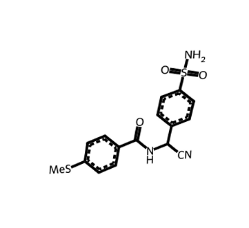 CSc1ccc(C(=O)NC(C#N)c2ccc(S(N)(=O)=O)cc2)cc1